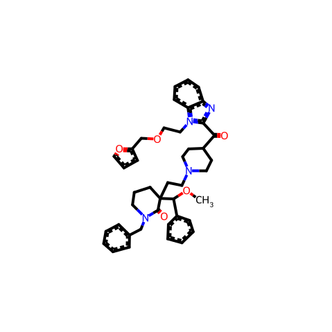 COC(c1ccccc1)C1(CCN2CCC(C(=O)c3nc4ccccc4n3CCOCc3ccco3)CC2)CCCN(Cc2ccccc2)C1=O